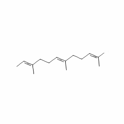 [CH2]/C=C(\C)CC/C=C(\C)CC/C=C(\C)CC